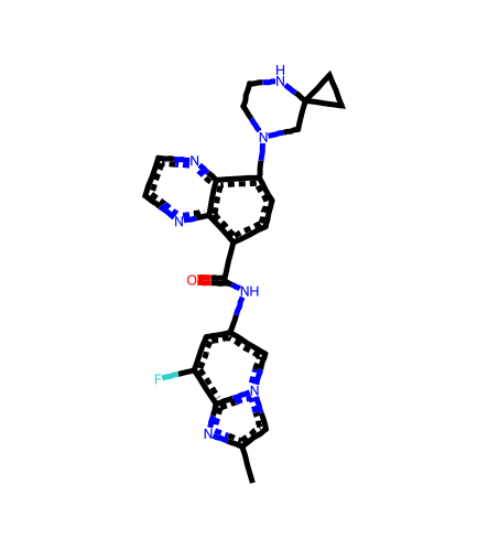 Cc1cn2cc(NC(=O)c3ccc(N4CCNC5(CC5)C4)c4nccnc34)cc(F)c2n1